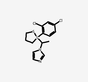 CC(n1ccnc1)S1(c2ccc(Cl)cc2Cl)CCCS1